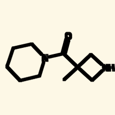 CC1(C(=O)N2CCCCC2)CNC1